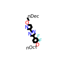 CCCCCCCCCCCCOc1ccc(-c2ncc(-c3ccc(OCCCCCCCC)c(F)c3F)cn2)cn1